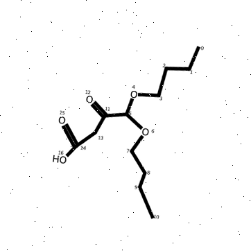 CCCCOC(OCCCC)C(=O)CC(=O)O